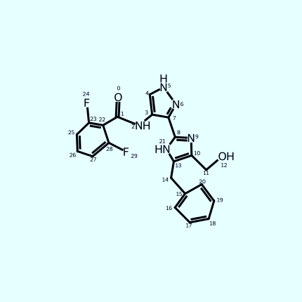 O=C(Nc1c[nH]nc1-c1nc(CO)c(Cc2ccccc2)[nH]1)c1c(F)cccc1F